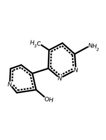 Cc1cc(N)nnc1-c1ccncc1O